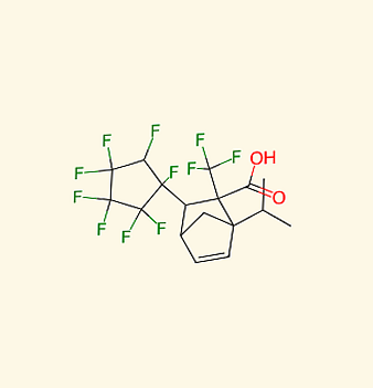 CC(C)C12C=CC(C1)C(C1(F)C(F)C(F)(F)C(F)(F)C1(F)F)C2(C(=O)O)C(F)(F)F